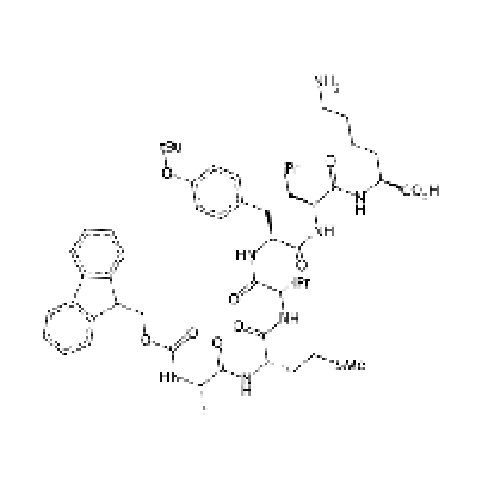 CSCC[C@H](NC(=O)[C@H](C)NC(=O)OCC1c2ccccc2-c2ccccc21)C(=O)N[C@H](C(=O)N[C@@H](Cc1ccc(OC(C)(C)C)cc1)C(=O)N[C@@H](CC(C)C)C(=O)N[C@@H](CCCCN)C(=O)O)C(C)C